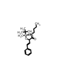 CCCCNC(=O)C(C=Cc1ccccc1)O[Si](C)(C)C(C)(C)C